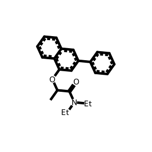 CCN(CC)C(=O)C(C)Oc1cc(-c2ccccc2)cc2ccccc12